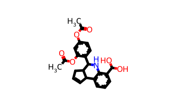 CC(=O)Oc1ccc(C2Nc3c(C(O)O)cccc3C3C=CCC32)c(OC(C)=O)c1